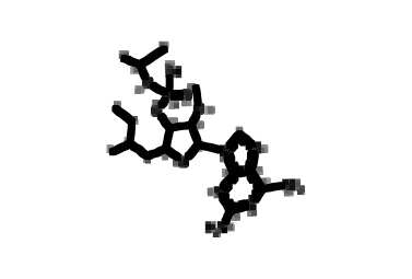 CCC(C)CC1OC(n2cnc3c(N)nc(N)nc32)C(OC)C1OP(=O)(S)OC(C)C